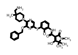 CN1C(=O)C(C(=O)Nc2cccc(Sc3cnc(N4CCC(C)(CN)CC4)c(OCc4ccccc4)n3)c2Cl)=C(O)C1(C)C